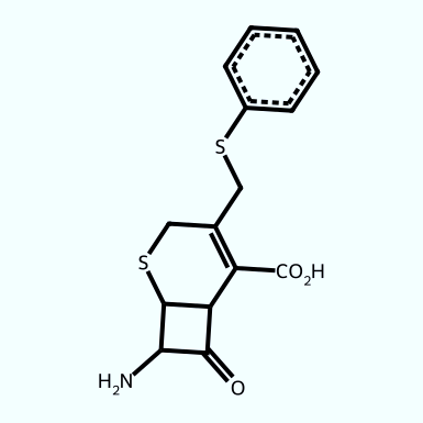 NC1C(=O)C2C(C(=O)O)=C(CSc3ccccc3)CSC12